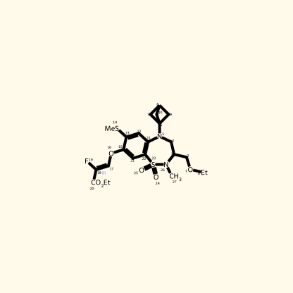 CCOCC1CN(C23CC(C2)C3)c2cc(SC)c(O/C=C(\F)C(=O)OCC)cc2S(=O)(=O)N1C